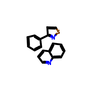 c1ccc(-c2ccsn2)cc1.c1ccc2ncccc2c1